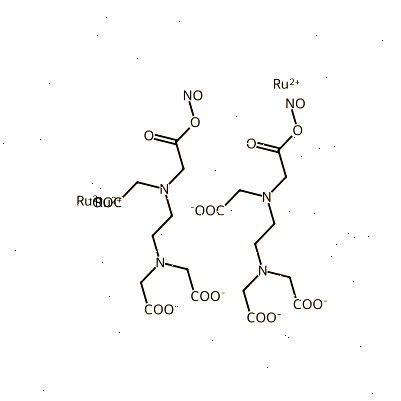 O=NOC(=O)CN(CCN(CC(=O)[O-])CC(=O)[O-])CC(=O)[O-].O=NOC(=O)CN(CCN(CC(=O)[O-])CC(=O)[O-])CC(=O)[O-].[Ru+2].[Ru+2].[Ru+2]